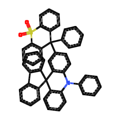 O=S1(=O)c2ccccc2C(c2ccccc2)(c2ccc3c(c2)C2(c4ccccc4-c4ccccc42)c2ccccc2N3c2ccccc2)c2ccccc21